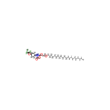 CCCCCCCCCCCCCCCCCCCCCCOCCOc1nn(-c2ccc(OC(F)(F)F)cc2)c(=O)o1